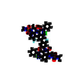 C[C@@H](NS(=O)(=O)N1CC1)C(=O)N(c1cccc(F)c1)[C@H](C(=O)NC1CCCCC1)c1ccc(-c2ccc(N(C(=O)CCNS(=O)(=O)N3CC3)C(C(=O)NC3CCCCC3)c3ccccc3Cl)cc2F)cc1Cl